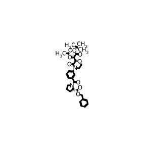 CC(=O)O[C@@H](C(=O)OC(C)(C)C)[C@H]1OCCN(c2cccc(C(=O)N3CCC[C@H]3C(=O)OCc3ccccc3)c2)C1=O